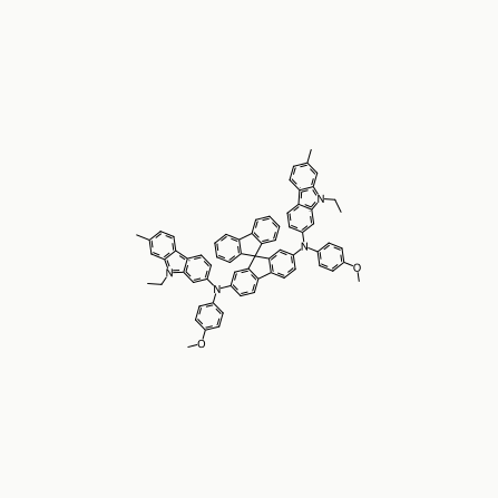 CCn1c2cc(C)ccc2c2ccc(N(c3ccc(OC)cc3)c3ccc4c(c3)C3(c5ccccc5-c5ccccc53)c3cc(N(c5ccc(OC)cc5)c5ccc6c7ccc(C)cc7n(CC)c6c5)ccc3-4)cc21